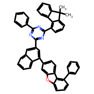 CC1(C)c2ccccc2-c2c(-c3nc(-c4ccccc4)nc(-c4cc(-c5ccc6c(c5)oc5cccc(-c7ccccc7)c56)c5ccccc5c4)n3)cccc21